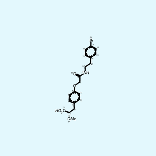 CO[C@@H](Cc1ccc(OCC(=O)NCCc2ccc(Br)cc2)cc1)C(=O)O